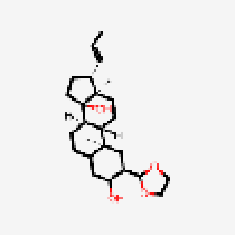 CC=C[C@H]1CC[C@@]2(O)[C@@H]3CCC4CC(O)C(C5OCCO5)C[C@]4(C)[C@H]3CC[C@]12C